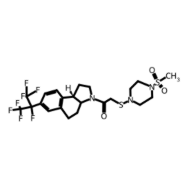 CS(=O)(=O)N1CCN(SCC(=O)N2CC[C@H]3c4ccc(C(F)(C(F)(F)F)C(F)(F)F)cc4CCC32)CC1